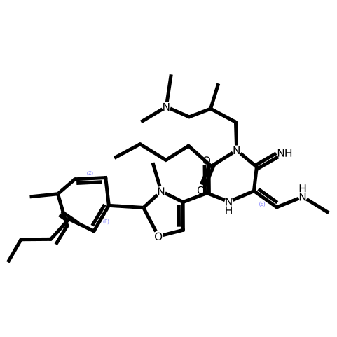 C=C(/C=C(\C=C/C(C)CC)C1OC=C(C(=O)N/C(=C/NC)C(=N)N(CC(C)CN(C)C)C(=O)CCCC)N1C)CCC